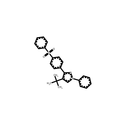 CC(C)(C)c1cn(-c2ccccc2)nc1-c1ccc(S(=O)(=O)c2ccccc2)cc1